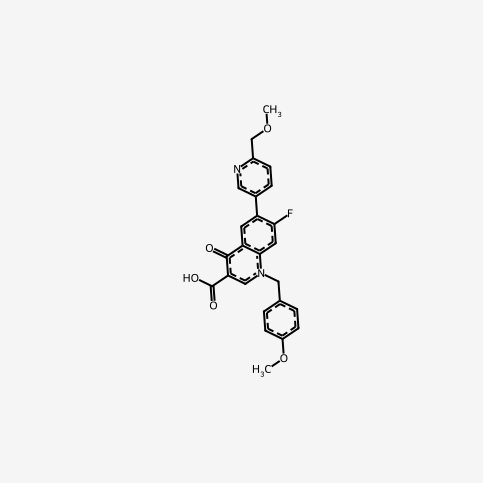 COCc1ccc(-c2cc3c(=O)c(C(=O)O)cn(Cc4ccc(OC)cc4)c3cc2F)cn1